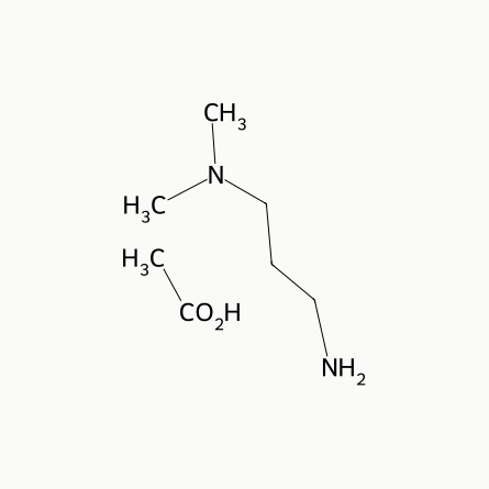 CC(=O)O.CN(C)CCCN